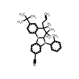 C=CCC1(C)c2cc(C(C)(C)C)ccc2N2c3ccc(C#N)cc3N(c3ccccc3C)C2C1(C)C